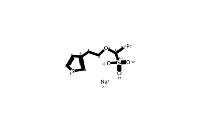 CCCC(OCCc1ccsc1)S(=O)(=O)[O-].[Na+]